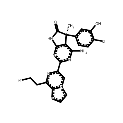 CC(C)CCc1nc(-c2nc(N)c3c(n2)NC(=O)[C@@]3(C)c2ccc(Cl)c(O)c2)cn2ccnc12